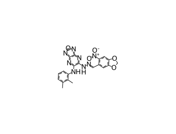 Cc1cccc(Nc2nc3nonc3nc2N/N=C/c2cc3c(cc2[N+](=O)[O-])OCO3)c1C